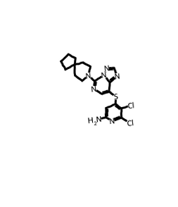 Nc1cc(Sc2cnc(N3CCC4(CCCC4)CC3)n3ncnc23)c(Cl)c(Cl)n1